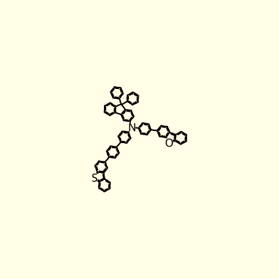 c1ccc(C2(c3ccccc3)c3ccccc3-c3cc(N(c4ccc(-c5ccc(-c6ccc7sc8ccccc8c7c6)cc5)cc4)c4ccc(-c5ccc6c(c5)oc5ccccc56)cc4)ccc32)cc1